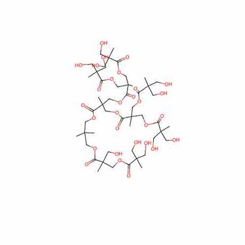 CC(C)(COC(=O)C(C)(CO)COC(=O)C(C)(CO)CO)COC(=O)C(C)(COC(=O)C(C)(COC(=O)C(C)(CO)CO)COC(=O)C(C)(CO)CO)COC(=O)C(C)(COC(=O)C(C)(CO)CO)COC(=O)C(C)(CO)CO